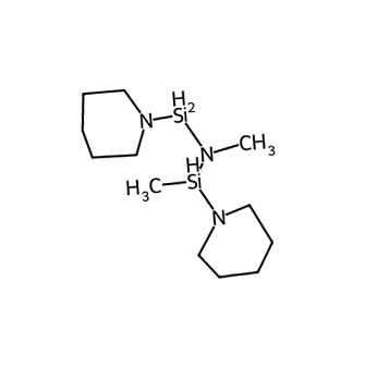 CN([SiH2]N1CCCCC1)[SiH](C)N1CCCCC1